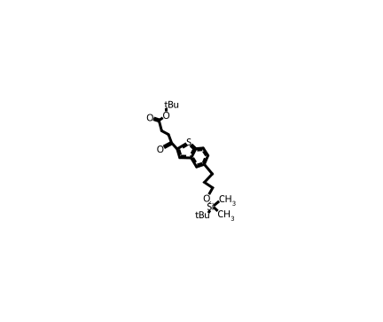 CC(C)(C)OC(=O)CCC(=O)c1cc2cc(CCCO[Si](C)(C)C(C)(C)C)ccc2s1